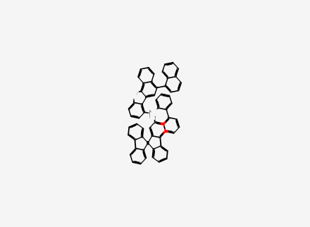 c1ccc(-c2ccccc2N(c2ccc3c(c2)C2(c4ccccc4-c4ccccc42)c2ccccc2-3)c2cccc3oc4c5ccccc5c(-c5cccc6ccccc56)cc4c23)cc1